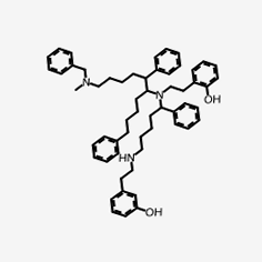 CN(CCCCC(c1ccccc1)C(CCCCc1ccccc1)N(CCc1ccccc1O)C(CCCCNCCc1cccc(O)c1)c1ccccc1)Cc1ccccc1